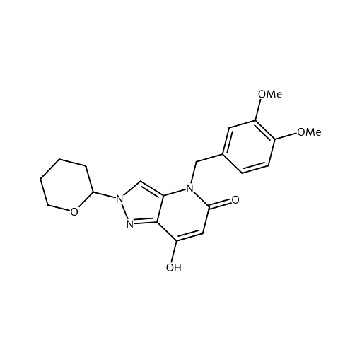 COc1ccc(Cn2c(=O)cc(O)c3nn(C4CCCCO4)cc32)cc1OC